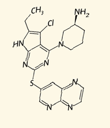 CCc1[nH]c2nc(Sc3cnc4nccnc4c3)nc(N3CCC[C@H](N)C3)c2c1Cl